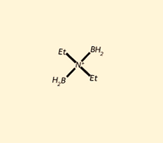 B[N+](B)(CC)CC